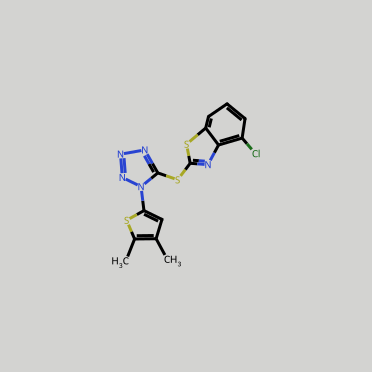 Cc1cc(-n2nnnc2Sc2nc3c(Cl)cccc3s2)sc1C